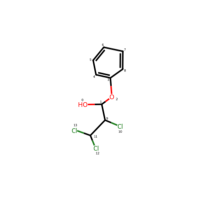 OC(Oc1ccccc1)C(Cl)C(Cl)Cl